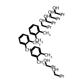 CC(C)CO.CC(C)CO.CC(C)CO.CC(C)CO.CC(C)CO.CC(C)CO.Cc1ccccc1C.Cc1ccccc1C.Cc1ccccc1C